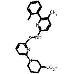 Cc1ccccc1-c1nc(NSc2cccc(N3CCCC(C(=O)O)C3)n2)ccc1C(F)(F)F